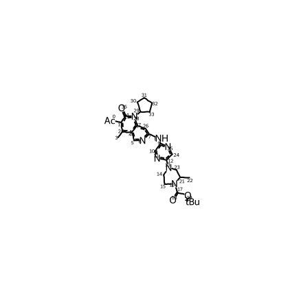 CC(=O)c1c(C)c2cnc(Nc3cnc(N4CCN(C(=O)OC(C)(C)C)C(C)C4)cn3)cc2n(C2CCCC2)c1=O